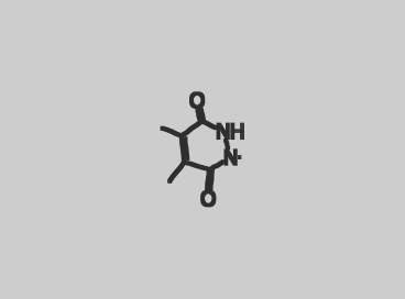 CC1=C(C)C(=O)N[N]C1=O